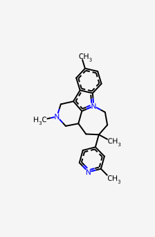 Cc1ccc2c(c1)c1c3n2CCC(C)(c2ccnc(C)c2)CC3CN(C)C1